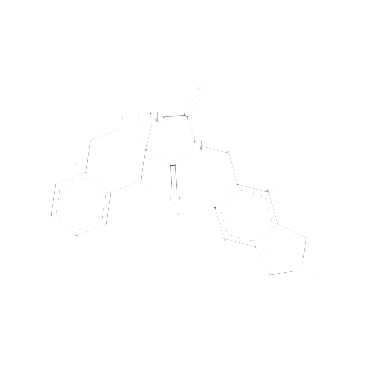 O=C1N[C@@]2(CCc3ccccc3C2)C(=O)N1Cc1ccc2c(c1)COC2